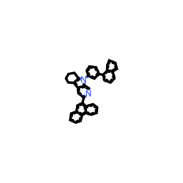 c1cc(-c2cccc3ccccc23)cc(-n2c3c(c4cc(-c5cc6ccccc6c6ccccc56)ncc42)CCCC3)c1